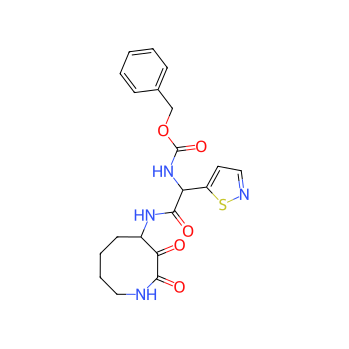 O=C(NC(C(=O)NC1CCCCNC(=O)C1=O)c1ccns1)OCc1ccccc1